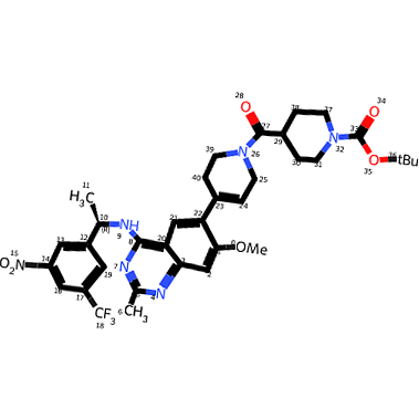 COc1cc2nc(C)nc(N[C@H](C)c3cc([N+](=O)[O-])cc(C(F)(F)F)c3)c2cc1C1=CCN(C(=O)C2CCN(C(=O)OC(C)(C)C)CC2)CC1